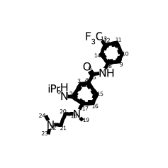 CC(C)Nc1cc(C(=O)Nc2cccc(C(F)(F)F)c2)ccc1N(C)CCN(C)C